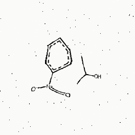 CC(C)O.O=[N+]([O-])c1ccccc1